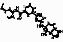 C=N/C(=C\C=C/C)NC(=O)c1cccc(-c2nsc(Nc3ccc4[nH]ncc4c3Cl)n2)c1